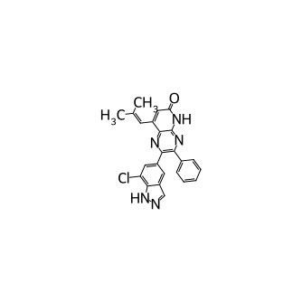 CC(C)=Cc1cc(=O)[nH]c2nc(-c3ccccc3)c(-c3cc(Cl)c4[nH]ncc4c3)nc12